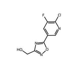 OCc1noc(-c2cnc(Cl)c(F)c2)n1